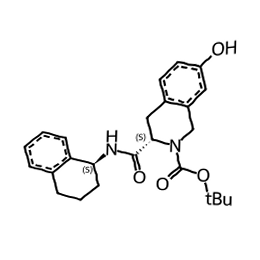 CC(C)(C)OC(=O)N1Cc2cc(O)ccc2C[C@H]1C(=O)N[C@H]1CCCc2ccccc21